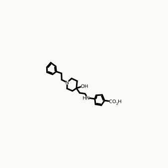 O=C(O)c1ccc(NCCC2(O)CCN(CCc3ccccc3)CC2)cc1